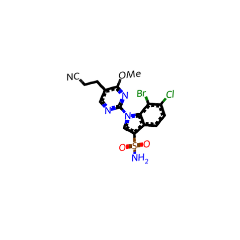 COc1nc(-n2cc(S(N)(=O)=O)c3ccc(Cl)c(Br)c32)ncc1CCC#N